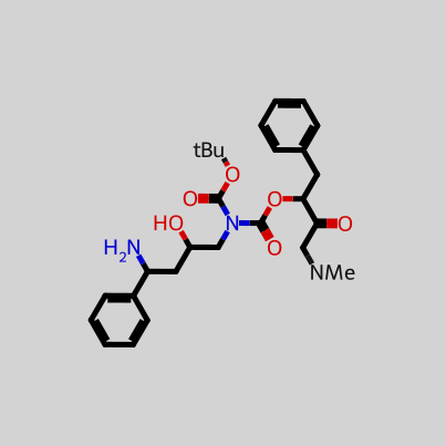 CNCC(=O)C(Cc1ccccc1)OC(=O)N(CC(O)CC(N)c1ccccc1)C(=O)OC(C)(C)C